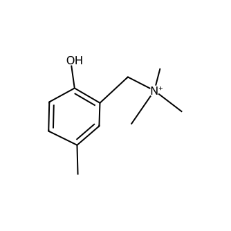 Cc1ccc(O)c(C[N+](C)(C)C)c1